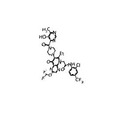 CCc1c(N2CCN(C(=O)c3ncnc(C)c3O)CC2)c(=O)c2nc(OC(F)F)cnc2n1CC(=O)Nc1ccc(C(F)(F)F)cc1Cl